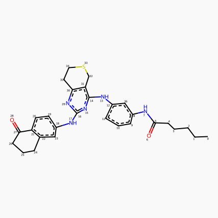 CCCCCC(=O)Nc1cccc(Nc2nc(Nc3ccc4c(c3)CCCC4=O)nc3c2CSCC3)c1